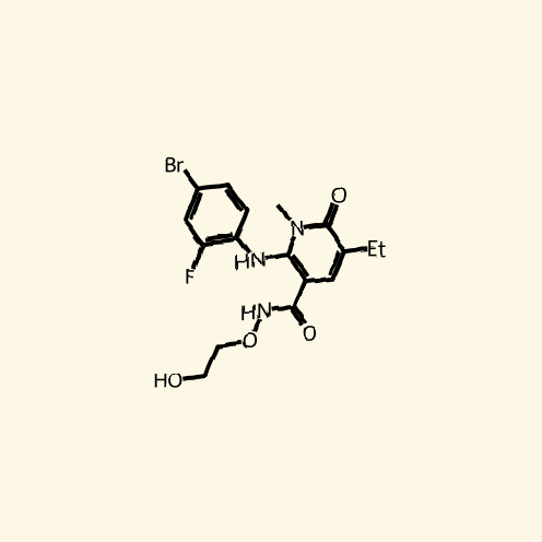 CCc1cc(C(=O)NOCCO)c(Nc2ccc(Br)cc2F)n(C)c1=O